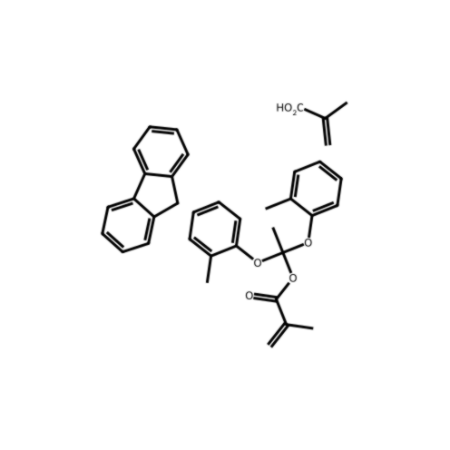 C=C(C)C(=O)O.C=C(C)C(=O)OC(C)(Oc1ccccc1C)Oc1ccccc1C.c1ccc2c(c1)Cc1ccccc1-2